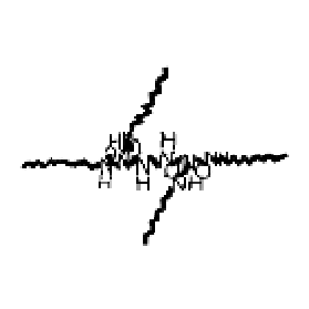 CCCCCCCCCCCCNC(=O)CN(CCNCCNCCN(CC(=O)NCCCCCCCCCCCC)CC(=O)NCCCCCCCCCCCC)CC(=O)NCCCCCCCCCC